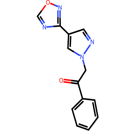 O=C(Cn1cc(-c2ncon2)cn1)c1ccccc1